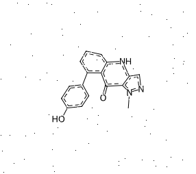 Cn1ncc2[nH]c3cccc(-c4ccc(O)cc4)c3c(=O)c21